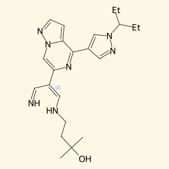 CCC(CC)n1cc(-c2nc(/C(C=N)=C/NCCC(C)(C)O)cn3nccc23)cn1